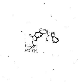 CC(C)(O)[C@H](F)CN1Cc2cc(NC(=O)c3cnn4cccnc34)c(C#N)cc2C1=O